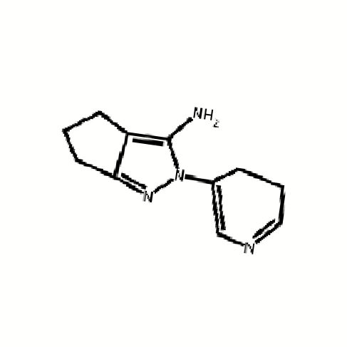 Nc1c2c(nn1C1=CN=CCC1)CCC2